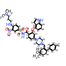 CN(C)CCCNc1ccc(S(=O)(=O)NC(=O)c2ccc(N3CCN(CC4=C(c5ccc(Cl)cc5)CCC(C)(C)C4)CC3)cc2Oc2cccc3[nH]ccc23)cc1[N+](=O)[O-]